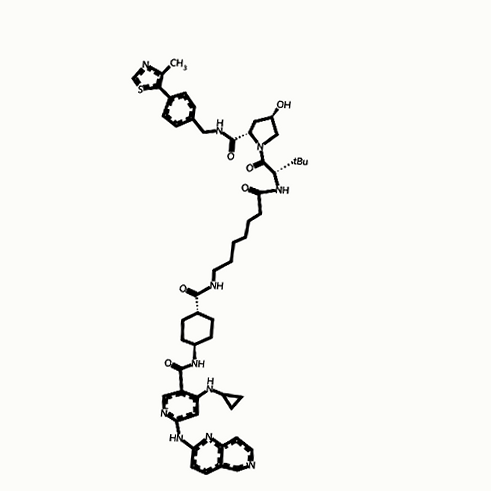 Cc1ncsc1-c1ccc(CNC(=O)[C@@H]2C[C@@H](O)CN2C(=O)[C@@H](NC(=O)CCCCCCNC(=O)[C@H]2CC[C@H](NC(=O)c3cnc(Nc4ccc5cnccc5n4)cc3NC3CC3)CC2)C(C)(C)C)cc1